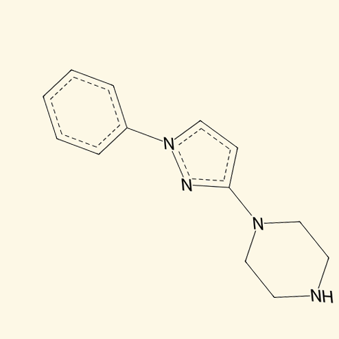 c1ccc(-n2ccc(N3CCNCC3)n2)cc1